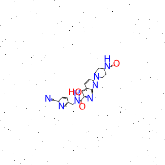 N#Cc1ccc(CNC(=O)c2ncc3nc(N4CCC(NC=O)CC4)ccc3c2O)cn1